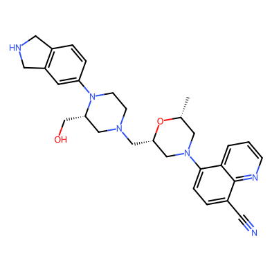 C[C@@H]1CN(c2ccc(C#N)c3ncccc23)C[C@H](CN2CCN(c3ccc4c(c3)CNC4)[C@@H](CO)C2)O1